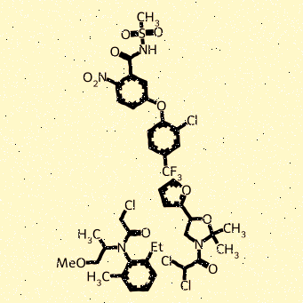 CC1(C)OC(c2ccco2)CN1C(=O)C(Cl)Cl.CCc1cccc(C)c1N(C(=O)CCl)C(C)COC.CS(=O)(=O)NC(=O)c1cc(Oc2ccc(C(F)(F)F)cc2Cl)ccc1[N+](=O)[O-]